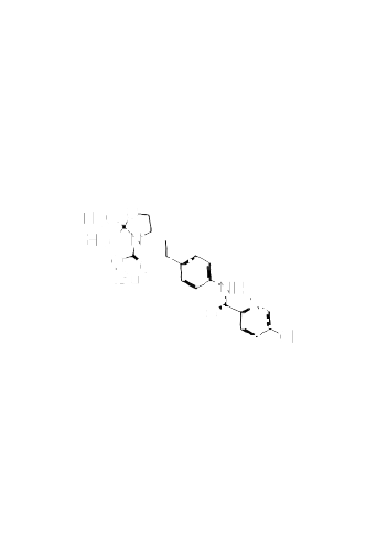 CC(C)(C)OC(=O)N1[C@@H](CCc2ccc(NC(=O)c3ccc(Cl)cn3)cc2)COC1(C)C